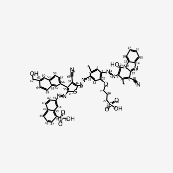 Cc1cc(N=Nc2c(C)c(C#N)c3nc4ccccc4n3c2O)c(OCCCS(=O)(=O)O)cc1N=Nc1sc(N=Nc2ccc3cccc(S(=O)(=O)O)c3c2)c(-c2ccc3cc(CO)ccc3c2)c1C#N